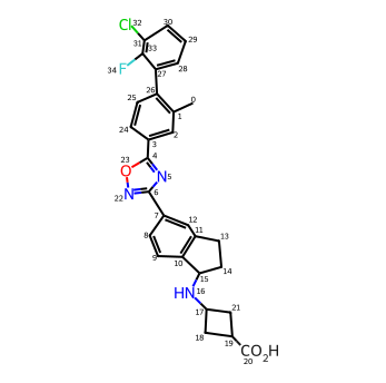 Cc1cc(-c2nc(-c3ccc4c(c3)CCC4NC3CC(C(=O)O)C3)no2)ccc1-c1cccc(Cl)c1F